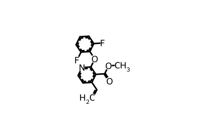 C=Cc1ccnc(Oc2c(F)cccc2F)c1C(=O)OC